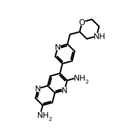 Nc1cnc2cc(-c3ccc(CC4CNCCO4)nc3)c(N)nc2c1